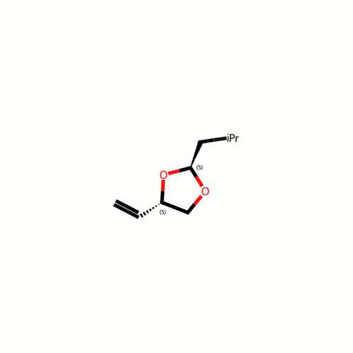 C=C[C@H]1CO[C@H](CC(C)C)O1